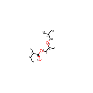 CCC(C)C(=O)OCC(C)OCC(C)C